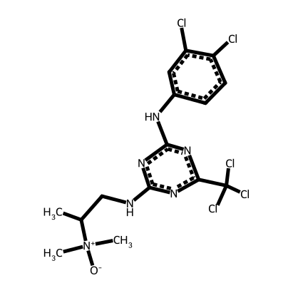 CC(CNc1nc(Nc2ccc(Cl)c(Cl)c2)nc(C(Cl)(Cl)Cl)n1)[N+](C)(C)[O-]